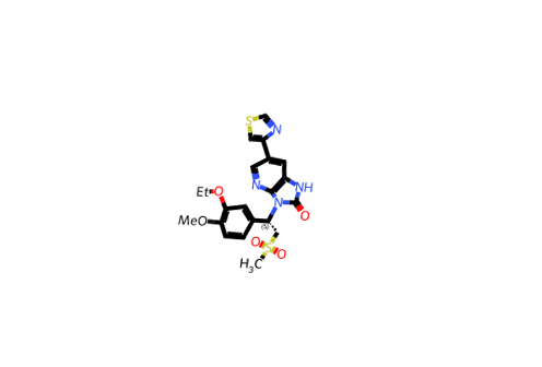 CCOc1cc([C@@H](CS(C)(=O)=O)n2c(=O)[nH]c3cc(-c4cscn4)cnc32)ccc1OC